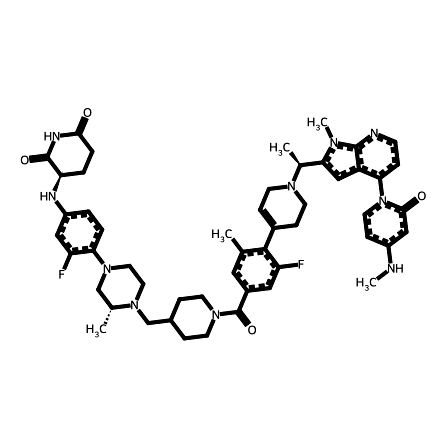 CNc1ccn(-c2ccnc3c2cc([C@H](C)N2CC=C(c4c(C)cc(C(=O)N5CCC(CN6CCN(c7ccc(N[C@@H]8CCC(=O)NC8=O)cc7F)C[C@H]6C)CC5)cc4F)CC2)n3C)c(=O)c1